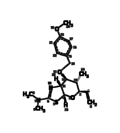 C=C[C@H]1O[C@@H]2SC(N(C)C)=N[C@@H]2[C@@H](OCc2ccc(OC)cc2)[C@@H]1C